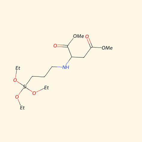 CCO[Si](CCCNC(CC(=O)OC)C(=O)OC)(OCC)OCC